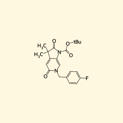 CC(C)(C)OC(=O)N1C(=O)C(C)(C)c2cc(=O)n(Cc3ccc(F)cc3)cc21